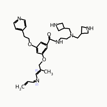 C=C/C=N\C=C(/C)COc1cc(OCCc2ccncc2)cc(C(=O)NCCN(CC2CNC2)CC2CNC2)c1